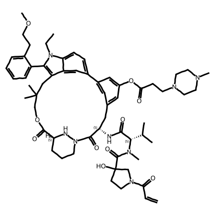 C=CC(=O)N1CCC(O)(C(=O)N(C)[C@H](C(=O)N[C@H]2Cc3cc(OC(=O)CCN4CCN(C)CC4)cc(c3)-c3ccc4c(c3)c(c(-c3ccccc3CCOC)n4CC)CC(C)(C)COC(=O)[C@@H]3CCCN(N3)C2=O)C(C)C)C1